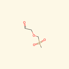 CS(=O)(=O)COCC=O